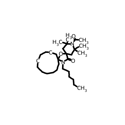 CCCCCCN1C(=O)C2(CC(C)(C)N(C(C)=O)C(C)(C)C2)OC12CCCCCCCCCCC2